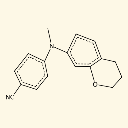 CN(c1ccc(C#N)cc1)c1ccc2c(c1)OCCC2